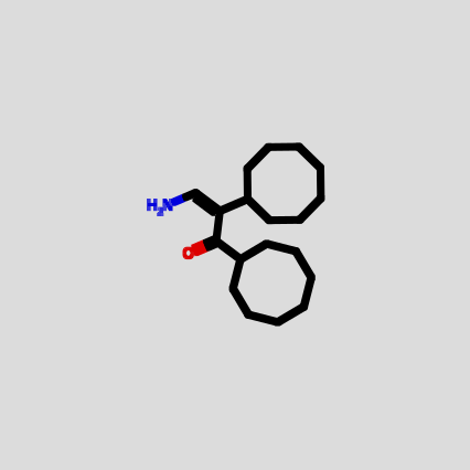 N/C=C(\C(=O)C1CCCCCCC1)C1CCCCCCC1